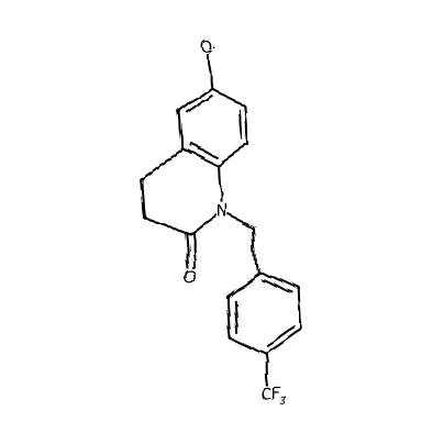 [O]c1ccc2c(c1)CCC(=O)N2Cc1ccc(C(F)(F)F)cc1